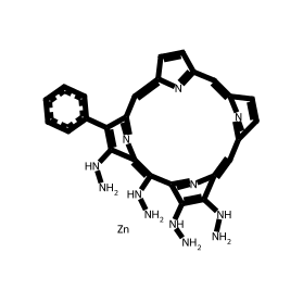 NNC1=C2N=C(C=C3C=CC(=N3)C=C3C=CC(=N3)C=C3N=C1C(NN)=C3NN)C(c1ccccc1)=C2NN.[Zn]